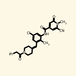 Cc1c(C=C2CCN(C(=O)CC(C)C)CC2)cc(Cl)cc1NC(=O)c1cc(C#N)n(C)c(=O)c1